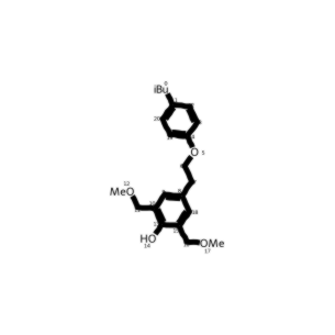 CCC(C)c1ccc(OCCc2cc(COC)c(O)c(COC)c2)cc1